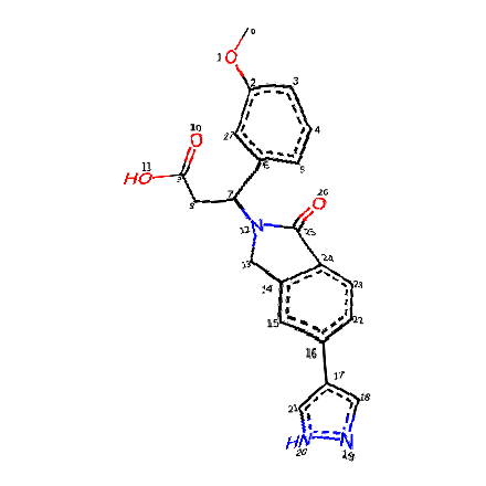 COc1cccc(C(CC(=O)O)N2Cc3cc(-c4cn[nH]c4)ccc3C2=O)c1